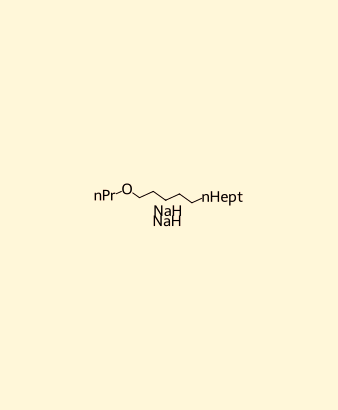 [CH2]CCOCCCCCCCCCCCC.[NaH].[NaH]